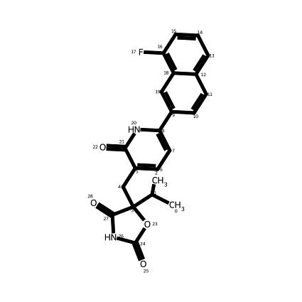 CC(C)C1(Cc2ccc(-c3ccc4cccc(F)c4c3)[nH]c2=O)OC(=O)NC1=O